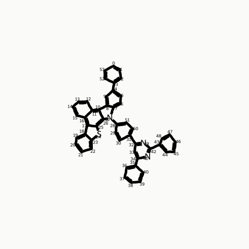 c1ccc(-c2ccc3c(c2)c2c4ccccc4c4c5ccccc5sc4c2n3-c2ccc(-c3cc(-c4ccccc4)nc(-c4ccccc4)n3)cc2)cc1